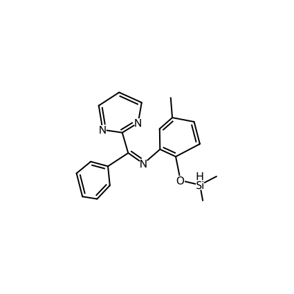 Cc1ccc(O[SiH](C)C)c(N=C(c2ccccc2)c2ncccn2)c1